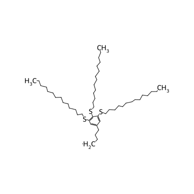 [CH2]CCCc1cc(SCCCCCCCCCCCCCC)c(SCCCCCCCCCCCCCC)c(SCCCCCCCCCCCCCC)c1